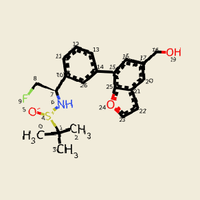 CC(C)(C)[S+]([O-])N[C@@H](CF)c1cccc(-c2cc(CO)cc3ccoc23)c1